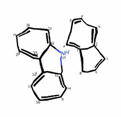 C1=Cc2ccccc2C1.c1ccc2c(c1)[nH]c1ccccc12